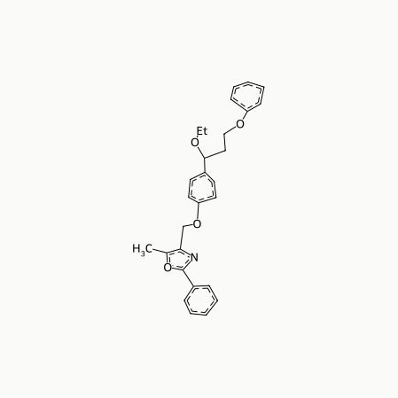 CCOC(CCOc1ccccc1)c1ccc(OCc2nc(-c3ccccc3)oc2C)cc1